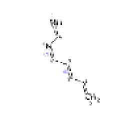 C=C/C=C/C=N\C=N